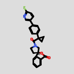 O=C1O[C@]2(CCN(C(=O)C3(c4ccc(-c5ccc(F)nc5)cc4)CC3)C2)c2ccccc21